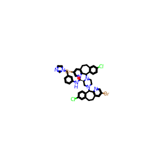 O=C(Nc1cccc(Cn2ccnc2)c1)[C@@H]1CN(C2c3ccc(Cl)cc3CCc3cc(Br)cnc32)CCN1C1c2ccc(Cl)cc2CCc2cc(Br)cnc21